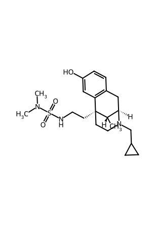 C[C@H]1[C@H]2Cc3ccc(O)cc3[C@]1(CCNS(=O)(=O)N(C)C)CCN2CC1CC1